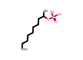 CCCCCCCCCCCCCCCCCC(CCCC)OP(=O)(O)O